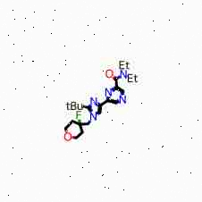 CCN(CC)C(=O)c1cncc(-c2cn(CC3(F)CCOCC3)c(C(C)(C)C)n2)n1